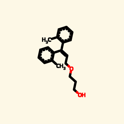 Cc1ccccc1C(=CCOCCCO)c1ccccc1C